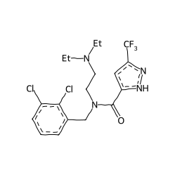 CCN(CC)CCN(Cc1cccc(Cl)c1Cl)C(=O)c1cc(C(F)(F)F)n[nH]1